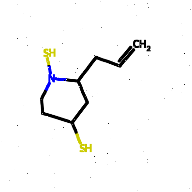 C=CCC1CC(S)CCN1S